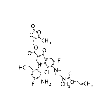 C=CCOC(=O)N(C)C1CN(c2c(F)cc3c(=O)c(C(=O)OCc4oc(=O)oc4C)cn(-c4cc(N)c(F)cc4CO)c3c2Cl)C1